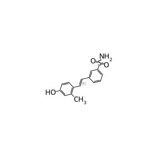 Cc1cc(O)ccc1/C=C/c1cccc(S(N)(=O)=O)c1